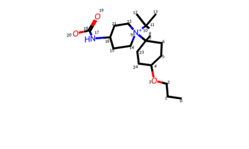 CCCOC1CCC(C)([N+]2(C(C)(C)C)CCC(NC(=O)[O-])CC2)CC1